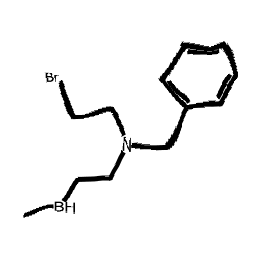 CBCCN(CCBr)Cc1ccccc1